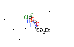 CCOC(=O)c1ccc(NC(=O)c2cccc(NS(=O)(=O)c3cc(Cl)cc(Cl)c3)c2)cc1